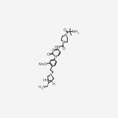 COc1cc(-n2ccc(NC(=O)N3CCN(C(=O)C(C)(C)N)CC3)nc2=O)ccc1CCN1C[C@@H]2[C@@H](CN)[C@@H]2C1